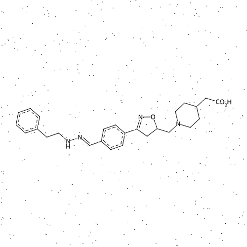 O=C(O)CC1CCN(CC2CC(c3ccc(C=NNCCc4ccccc4)cc3)=NO2)CC1